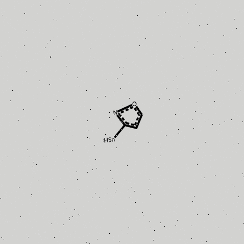 [SnH][c]1ccon1